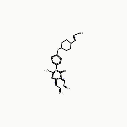 C=C/C=c1/nc(C)n(-c2ccc(OC3CCN(/C=C/CCC)CC3)cc2)c(=O)/c1=C/C=C